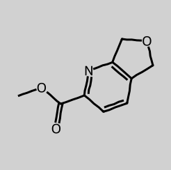 COC(=O)c1ccc2c(n1)COC2